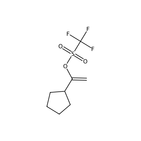 C=C(OS(=O)(=O)C(F)(F)F)C1CCCC1